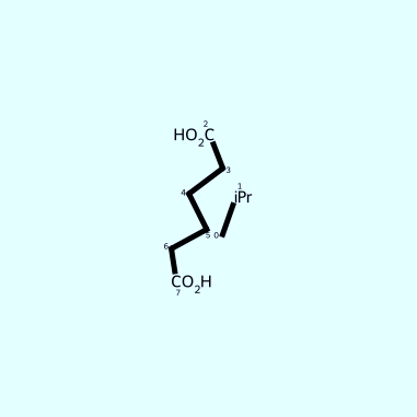 CC(C)C.O=C(O)CCCCC(=O)O